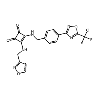 O=c1c(NCc2ccc(-c3noc(C(F)(F)Cl)n3)cc2)c(NCc2ncon2)c1=O